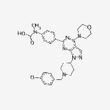 CN(C(=O)O)c1ccc(-c2nc(N3CCOCC3)c3cnn(C4CCN(Cc5ccc(Cl)cc5)CC4)c3n2)cc1